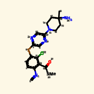 C=Nc1ccc(Sc2cnc(N3CCC(C)(N)CC3)cn2)c(Cl)c1C(=O)NC